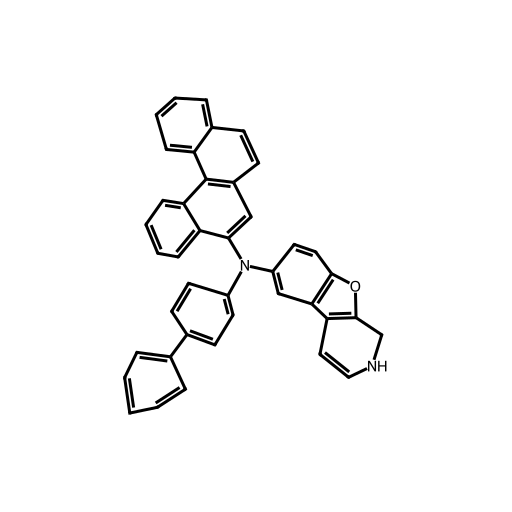 C1=Cc2c(oc3ccc(N(c4ccc(-c5ccccc5)cc4)c4cc5ccc6ccccc6c5c5ccccc45)cc23)CN1